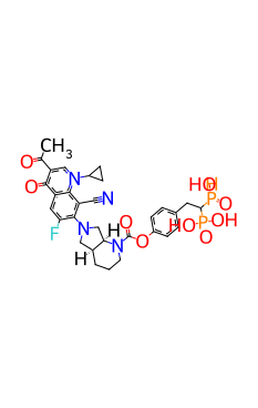 CC(=O)c1cn(C2CC2)c2c(C#N)c(N3C[C@@H]4CCCN(C(=O)Oc5ccc(CC([PH](=O)O)P(=O)(O)O)cc5)[C@@H]4C3)c(F)cc2c1=O